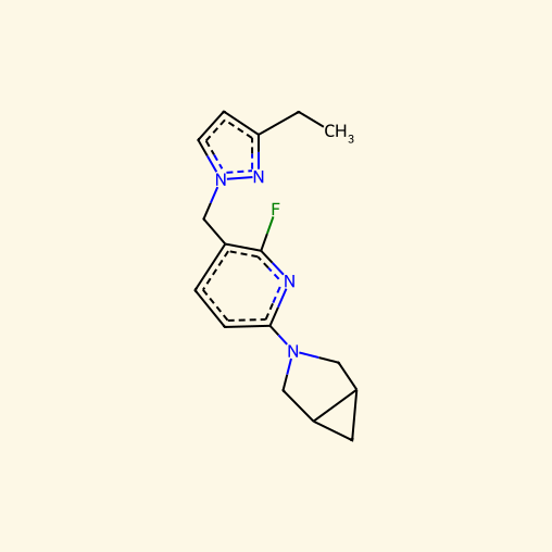 CCc1ccn(Cc2ccc(N3CC4CC4C3)nc2F)n1